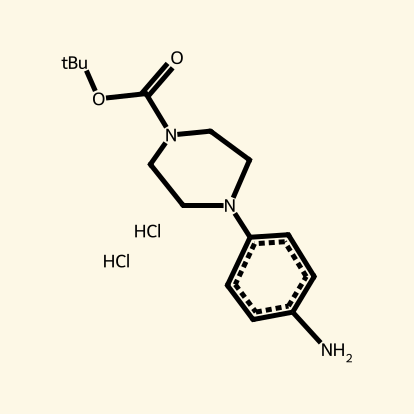 CC(C)(C)OC(=O)N1CCN(c2ccc(N)cc2)CC1.Cl.Cl